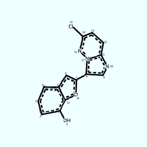 Oc1cccc2cc(-c3cnc4ccc(Cl)nn34)oc12